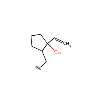 C=CC1(O)CCCC1CC(C)CC